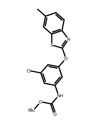 Cc1ccc2nc(Oc3cc(Cl)cc(NC(=O)OC(C)(C)C)c3)sc2c1